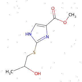 COC(=O)c1c[nH]c(SCC(C)O)n1